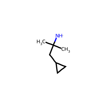 CC(C)([NH])CC1CC1